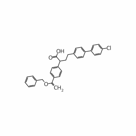 C=C(OCc1ccccc1)c1ccc(C(CCc2ccc(-c3ccc(Cl)cc3)cc2)C(=O)O)cc1